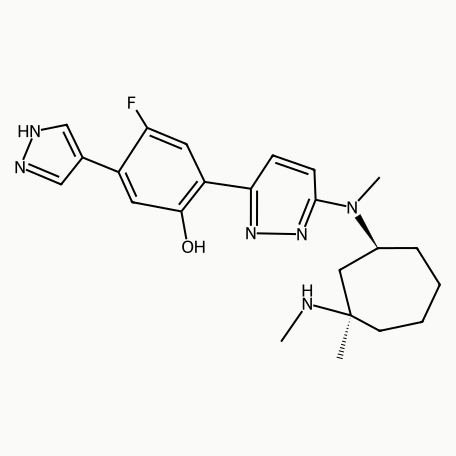 CN[C@]1(C)CCCC[C@H](N(C)c2ccc(-c3cc(F)c(-c4cn[nH]c4)cc3O)nn2)C1